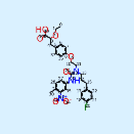 CCOC(Cc1ccc(OCCN(CCCc2ccc(F)cc2)C(=O)Nc2ccc(C)c([N+](=O)[O-])c2)cc1)C(=O)O